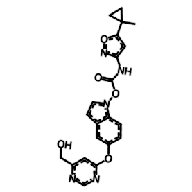 CC1(c2cc(NC(=O)On3ccc4cc(Oc5cc(CO)ncn5)ccc43)no2)CC1